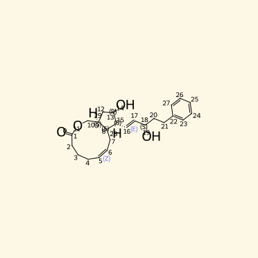 O=C1CCC/C=C\C[C@H]2[C@@H](CO1)C[C@@H](O)[C@@H]2/C=C/[C@@H](O)CCc1ccccc1